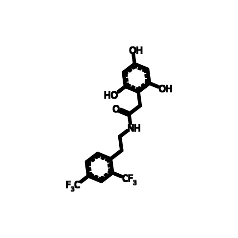 O=C(Cc1c(O)cc(O)cc1O)NCCc1ccc(C(F)(F)F)cc1C(F)(F)F